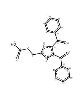 O=C(O)CCc1nc(C(=O)c2ccccc2)c(C(=O)c2ccccc2)o1